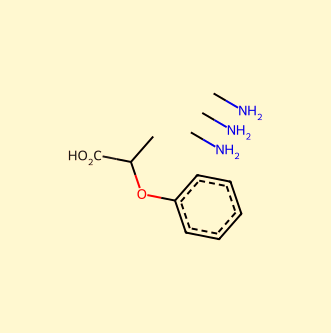 CC(Oc1ccccc1)C(=O)O.CN.CN.CN